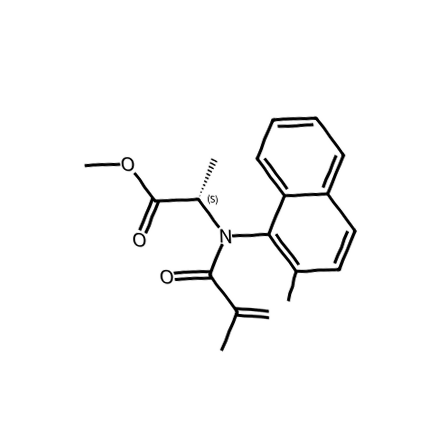 C=C(C)C(=O)N(c1c(C)ccc2ccccc12)[C@@H](C)C(=O)OC